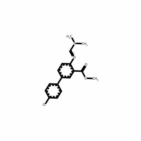 COC(=O)c1cc(-c2ccc(Cl)cc2)ccc1/N=C/N(C)C